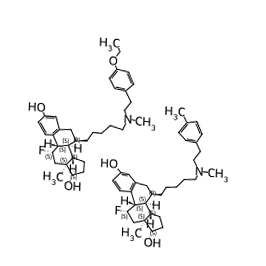 CCOc1ccc(CCN(C)CCCCC[C@@H]2Cc3cc(O)ccc3[C@@H]3[C@@H]2[C@@H]2CC[C@H](O)[C@@]2(C)C[C@@H]3F)cc1.Cc1ccc(CCN(C)CCCCC[C@@H]2Cc3cc(O)ccc3[C@@H]3[C@@H]2[C@@H]2CC[C@H](O)[C@@]2(C)C[C@@H]3F)cc1